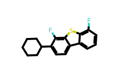 Fc1cccc2c1sc1c(F)c(C3CCCCC3)ccc12